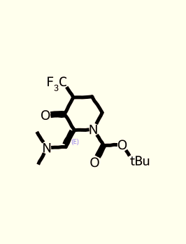 CN(C)/C=C1\C(=O)C(C(F)(F)F)CCN1C(=O)OC(C)(C)C